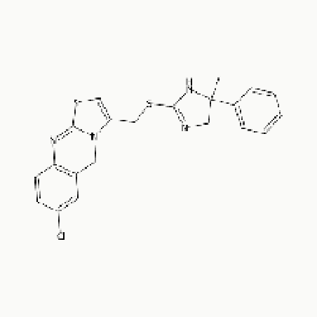 CC1(c2ccccc2)CN=C(SCC2=CSC3=Nc4ccc(Cl)cc4CN23)N1